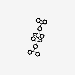 C1=CC2B(c3ccc(N(c4ccccc4)c4ccccc4)cc3)c3ccccc3C3(c4ccccc4B(c4ccc(-n5c6ccccc6c6ccccc65)cc4)C4C=CC=CC43)C2C=C1